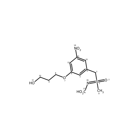 CS(=O)(Cc1cc(OCCCO)cc([N+](=O)[O-])c1)=NC(=O)O